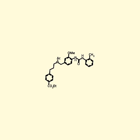 CCOC(=O)c1ccc(CCCN(Cc2ccc(NC(=O)Nc3ccccc3C)c(OC)c2)C(C)=O)cc1